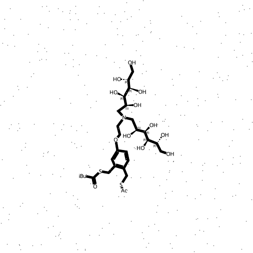 CCC(C)C(=O)SCc1cc(OCCN(C[C@H](O)[C@@H](O)[C@H](O)[C@H](O)CO)C[C@H](O)[C@@H](O)[C@H](O)[C@H](O)CO)ccc1CSC(C)=O